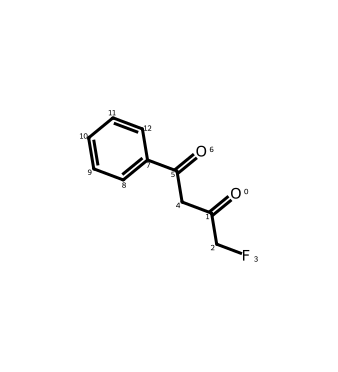 O=C(CF)CC(=O)c1ccccc1